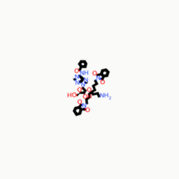 NCCCC(CCCCN1C(=O)c2ccccc2C1=O)(CCCCN1C(=O)c2ccccc2C1=O)O[C@@H]1[C@H](O)[C@@H](CO)O[C@H]1n1cnc2c(NC(=O)c3ccccc3)ncnc21